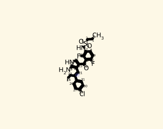 CCCS(=O)(=O)Nc1ccc(F)c(C(=O)c2c[nH]c(N)c2/C=C(\CI)c2ccc(Cl)cc2)c1F